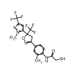 Cc1cc(C2=NOC(c3cc(C(F)(F)F)nn3C)(C(F)(F)F)C2)ccc1NC(=O)CS